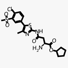 Cc1nc(NC(=O)C[C@H](N)C(=O)OC2CCCC2)sc1-c1ccc(Cl)c(S(C)(=O)=O)c1